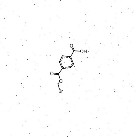 O=C(O)c1ccc(C(=O)OCBr)cc1